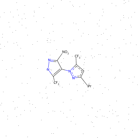 CC(C)c1cc(C(F)(F)F)n(C2=C(C(F)(F)F)[N]N=C2[N+](=O)[O-])n1